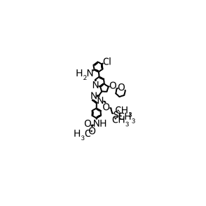 COC(=O)Nc1ccc(-c2cnc(C3CC(OC4CCCCO4)c4cc(-c5cc(Cl)ccc5N)cnc43)n2COCC[Si](C)(C)C)cc1